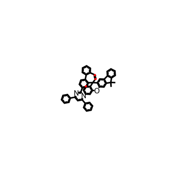 CC1(C)c2ccccc2-c2cc3c(cc21)Oc1ccccc1C31c2ccccc2-c2ccccc2-c2ccc(-c3nc(-c4ccccc4)cc(-c4ccccc4)n3)cc21